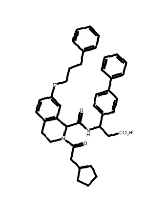 O=C(O)CC(NC(=O)C1c2cc(OCCCc3ccccc3)ccc2CCN1C(=O)CC1CCCC1)c1ccc(-c2ccccc2)cc1